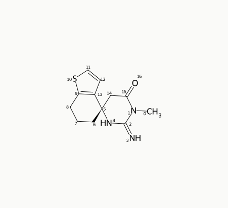 CN1C(=N)N[C@@]2(CCCc3sccc32)CC1=O